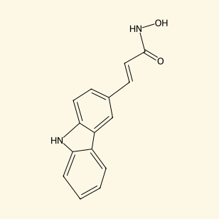 O=C(/C=C/c1ccc2[nH]c3ccccc3c2c1)NO